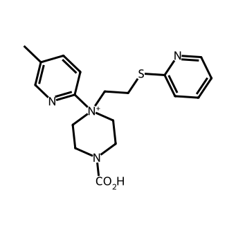 Cc1ccc([N+]2(CCSc3ccccn3)CCN(C(=O)O)CC2)nc1